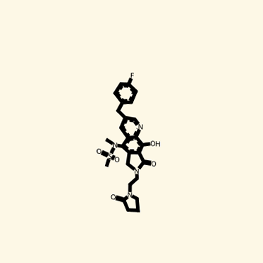 CN(c1c2c(c(O)c3ncc(Cc4ccc(F)cc4)cc13)C(=O)N(CCN1CCCC1=O)C2)S(C)(=O)=O